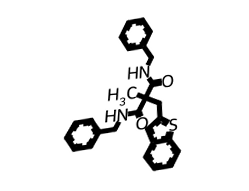 CC(Cc1cc2ccccc2s1)(C(=O)NCc1ccccc1)C(=O)NCc1ccccc1